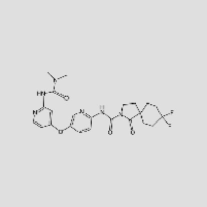 CN(C)C(=O)Nc1cc(Oc2ccc(NC(=O)N3CCC4(CCC(F)(F)CC4)C3=O)nc2)ccn1